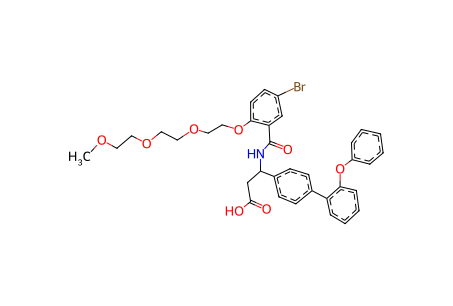 COCCOCCOCCOc1ccc(Br)cc1C(=O)NC(CC(=O)O)c1ccc(-c2ccccc2Oc2ccccc2)cc1